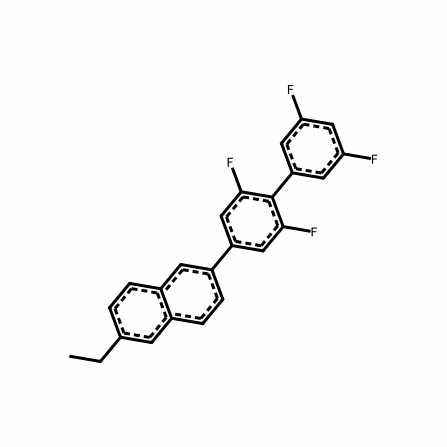 CCc1ccc2cc(-c3cc(F)c(-c4cc(F)cc(F)c4)c(F)c3)ccc2c1